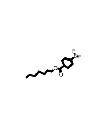 CCCCCCCOC(=O)C1CC=C(B(F)F)CC1